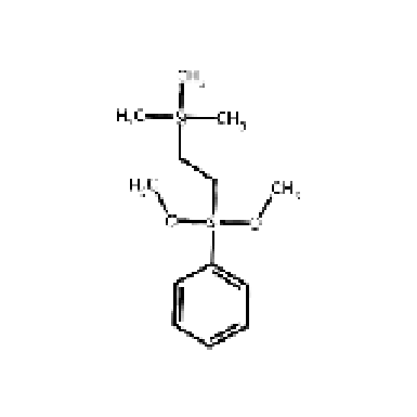 CO[Si](CC[Si](C)(C)C)(OC)c1ccccc1